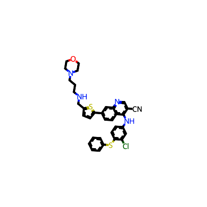 N#Cc1cnc2cc(-c3ccc(CNCCCN4CCOCC4)s3)ccc2c1Nc1ccc(Sc2ccccc2)c(Cl)c1